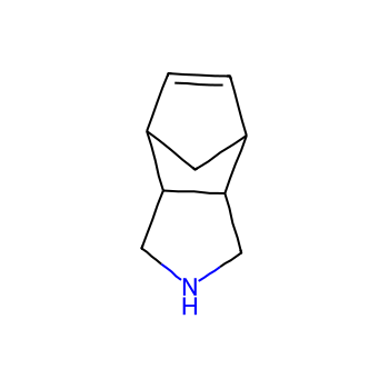 C1=CC2CC1C1CNCC21